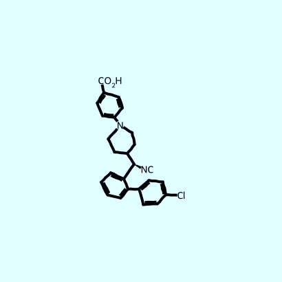 [C-]#[N+][C@@H](c1ccccc1-c1ccc(Cl)cc1)C1CCN(c2ccc(C(=O)O)cc2)CC1